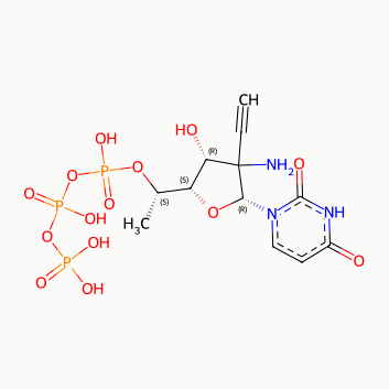 C#CC1(N)[C@@H](O)[C@@H]([C@H](C)OP(=O)(O)OP(=O)(O)OP(=O)(O)O)O[C@H]1n1ccc(=O)[nH]c1=O